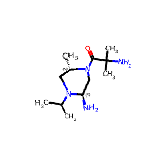 CC(C)N1C[C@H](C)N(C(=O)C(C)(C)N)C[C@H]1N